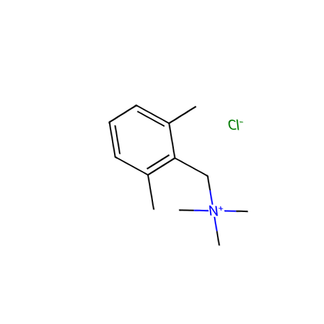 Cc1cccc(C)c1C[N+](C)(C)C.[Cl-]